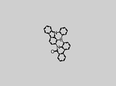 O=c1c2ccccc2c2cccc3c2n1-c1ccc2c4ccccc4n4c2c1B3c1ccccc1-4